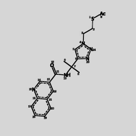 CC(=O)SCCn1cc(C(C)(C)NC(=O)c2cnc3ccccc3c2)nn1